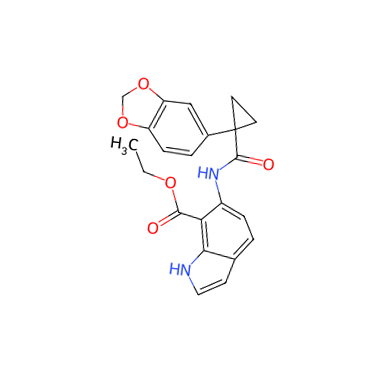 CCOC(=O)c1c(NC(=O)C2(c3ccc4c(c3)OCO4)CC2)ccc2cc[nH]c12